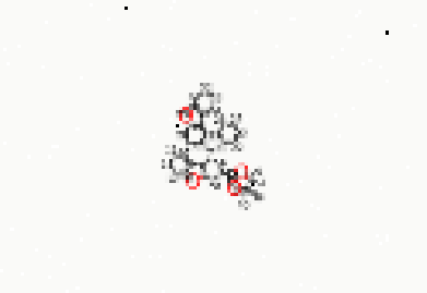 CC1(C)OB(c2ccc3c(c2)oc2cccc(-c4cc(-c5ccccc5)c5c(c4)oc4ccccc45)c23)OC1(C)C